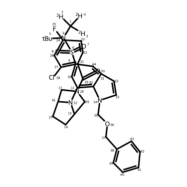 [2H]C([2H])([2H])N(C(C)(C)C)S(=O)(=O)c1cc(N2C3CCC2CN(C(=O)c2ccc(F)cc2Cl)C3)c2c(ccn2COCc2ccccc2)c1